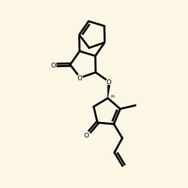 C=CCC1=C(C)[C@H](OC2OC(=O)C3C4=CCC(C4)C23)CC1=O